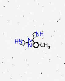 Cc1ccc2nc(C3CCNC3)nc(C3CCNC3)c2c1